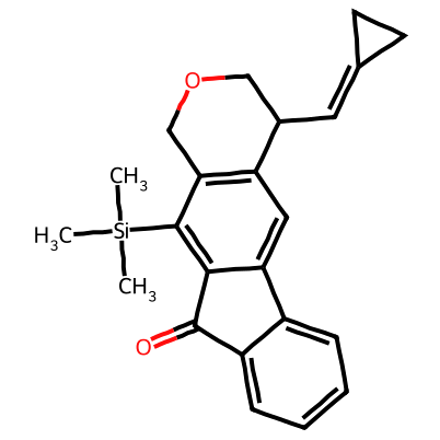 C[Si](C)(C)c1c2c(cc3c1C(=O)c1ccccc1-3)C(C=C1CC1)COC2